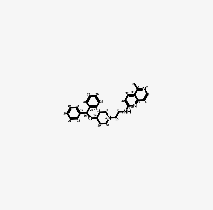 Cc1nccc2nc(NCCN3CCC(OC(c4ccccc4)c4ccccc4)CC3)ccc12